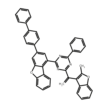 C=C(c1nc(-c2ccccc2)nc(-c2cc(-c3ccc(-c4ccccc4)cc3)cc3oc4ccccc4c23)n1)c1c(C)oc2ccccc12